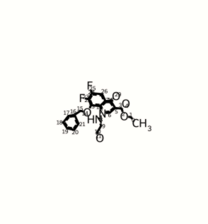 CCOC(=O)c1cn(NCC=O)c2c(OCc3ccccc3)c(F)c(F)cc2c1=O